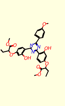 CCC(Oc1ccc(-c2nc(-c3ccc(OC)cc3)nc(-c3ccc(OC(CC)C(=O)OC)cc3O)n2)c(O)c1)C(=O)OC